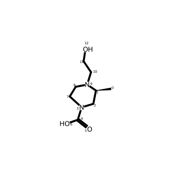 C[C@H]1CN(C(=O)O)CCN1CCO